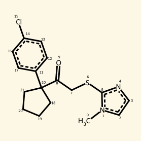 Cn1ccnc1SCC(=O)C1(c2ccc(Cl)cc2)CCCC1